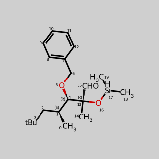 C[C@@H](CC(C)(C)C)[C@@H](OCc1ccccc1)[C@](C)(C=O)O[SiH](C)C